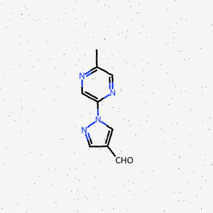 Cc1cnc(-n2cc(C=O)cn2)cn1